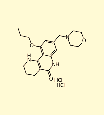 CCCOc1cc(CN2CCOCC2)cc2[nH]c(=O)c3c(c12)NCCC3.Cl.Cl